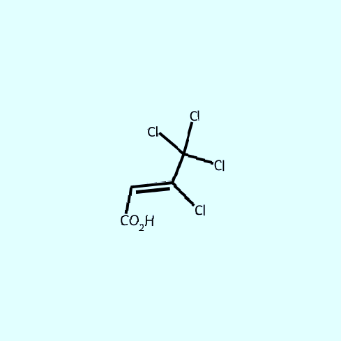 O=C(O)C=C(Cl)C(Cl)(Cl)Cl